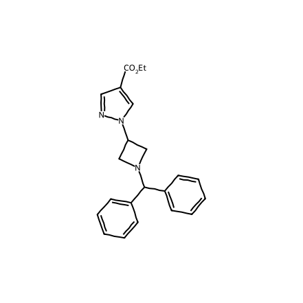 CCOC(=O)c1cnn(C2CN(C(c3ccccc3)c3ccccc3)C2)c1